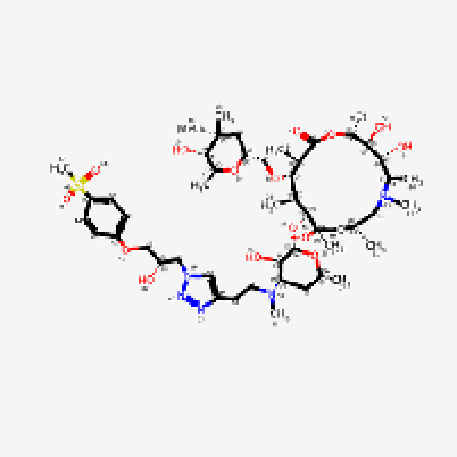 CC[C@H]1OC(=O)[C@H](C)[C@@H](OC[C@H]2C[C@@](C)(OC)[C@@H](O)[C@H](C)O2)[C@H](C)[C@@H](O[C@@H]2O[C@H](C)C[C@H](N(C)CCc3cn(C[C@H](O)COc4ccc(S(C)(=O)=O)cc4)nn3)[C@H]2O)[C@](C)(O)C[C@@H](C)CN(C)[C@H](C)[C@@H](O)[C@@H]1O